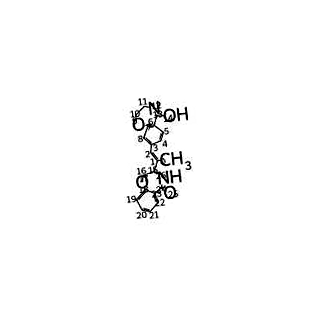 C/C(=C\c1ccc2c(c1)OCCN=C2O)C1COc2ccccc2C(=O)N1